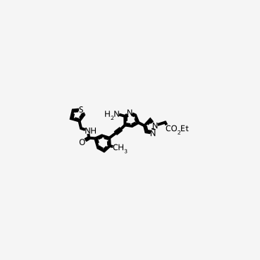 CCOC(=O)Cn1cc(-c2cnc(N)c(C#Cc3cc(C(=O)NCc4ccsc4)ccc3C)c2)cn1